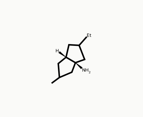 CCC1C[C@H]2CC(C)C[C@@]2(N)C1